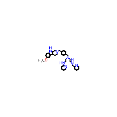 COc1ccc2[nH]c3c(c2c1)CCN(Cc1ccc(CN(CCNCc2ccccn2)CCNc2ccccn2)cc1)C3